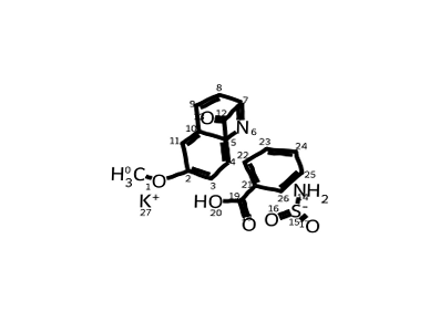 COc1cc2c3nc(ccc3c1)C2=O.N[S-](=O)=O.O=C(O)c1ccccc1.[K+]